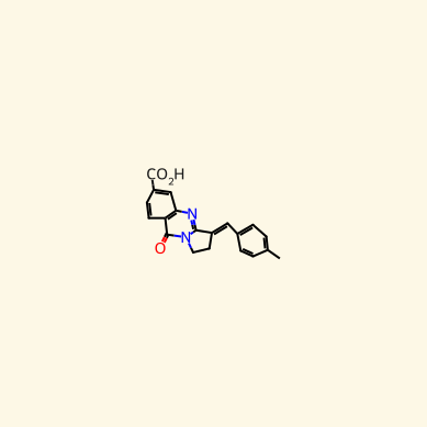 Cc1ccc(/C=C2\CCn3c2nc2cc(C(=O)O)ccc2c3=O)cc1